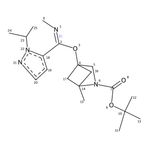 C/N=C(/OC12CN(C(=O)OC(C)(C)C)C(C)(C1)C2)c1ccnn1C(C)C